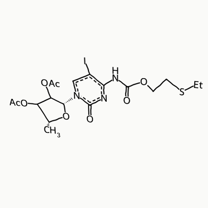 CCSCCOC(=O)Nc1nc(=O)n([C@@H]2O[C@H](C)C(OC(C)=O)C2OC(C)=O)cc1I